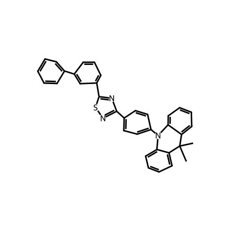 CC1(C)c2ccccc2N(c2ccc(-c3nsc(-c4cccc(-c5ccccc5)c4)n3)cc2)c2ccccc21